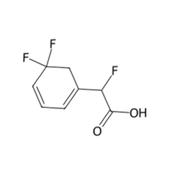 O=C(O)C(F)C1=CC=CC(F)(F)C1